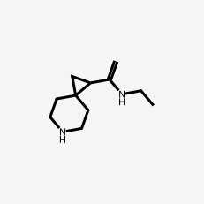 C=C(NCC)C1CC12CCNCC2